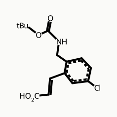 CC(C)(C)OC(=O)NCc1ccc(Cl)cc1C=CC(=O)O